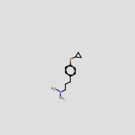 CN(C)CCCc1ccc(SC2CC2)cc1